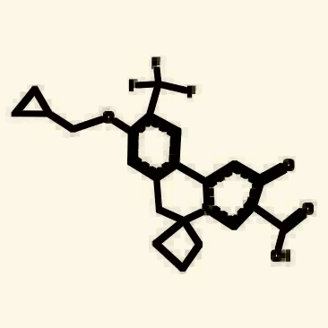 O=C(O)c1cn2c(cc1=O)-c1cc(C(F)(F)F)c(OCC3CC3)cc1CC21CCC1